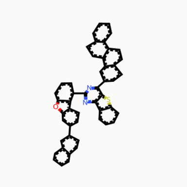 c1ccc2cc(-c3ccc4c(c3)oc3cccc(-c5nc(-c6ccc7ccc8c9ccccc9ccc8c7c6)c6sc7ccccc7c6n5)c34)ccc2c1